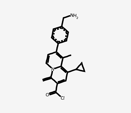 C=C1C(C(=O)Cl)=CC(C2CC2)=C2C(C)=C(c3ccc(CN)cc3)C=CN12